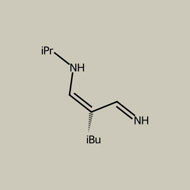 CC[C@@H](C)/C(C=N)=C/NC(C)C